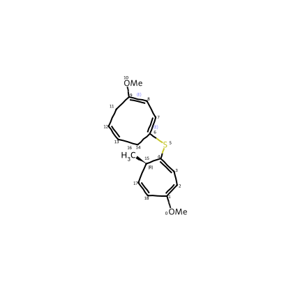 COC1=CC=C(S/C2=C/C=C(/OC)CC=CC2)[C@H](C)C=C1